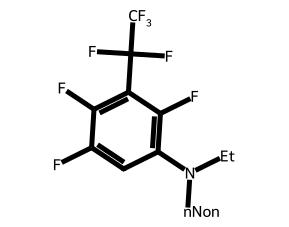 CCCCCCCCCN(CC)c1cc(F)c(F)c(C(F)(F)C(F)(F)F)c1F